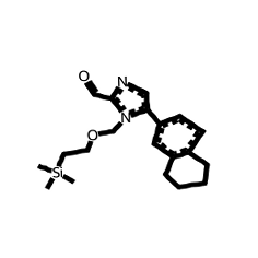 C[Si](C)(C)CCOCn1c(-c2ccc3c(c2)CCCC3)cnc1C=O